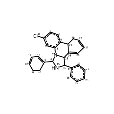 Clc1ccc2c(c1)N1C(C3=CC=CCC3)NC(c3ccccc3)C1C1=CC=CCC12